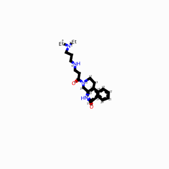 CCN(CC)CCCNCCC(=O)N1CCc2c([nH]c(=O)c3ccccc23)C1